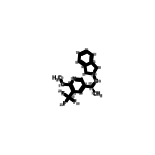 COc1ncc([C@@H](C)ON2Cc3ccccc3C2)cc1C(F)(F)F